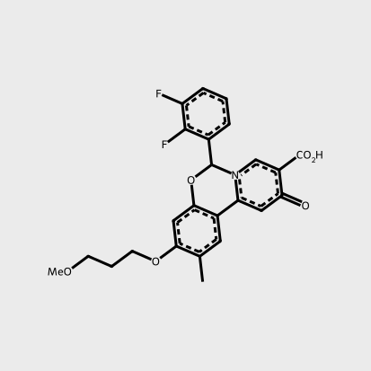 COCCCOc1cc2c(cc1C)-c1cc(=O)c(C(=O)O)cn1C(c1cccc(F)c1F)O2